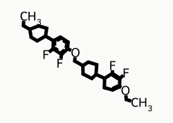 CCOC1=CCC(C2CCC(COc3ccc(C4CCC(CC)CC4)c(F)c3F)CC2)C(F)=C1F